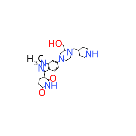 Cn1nc(C2CCC(=O)NC2=O)c2ccc(N3CCN(CC4CCNCC4)C(CO)C3)cc21